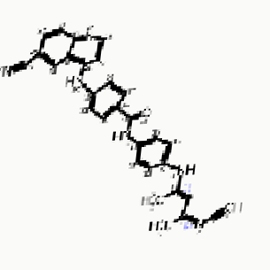 C#C/N=C(C)\C=C(/C)Nc1ccc(NC(=O)c2ccc(Nc3ccnc4ccc(C#N)cc34)cc2)cc1